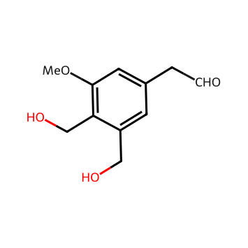 COc1cc(CC=O)cc(CO)c1CO